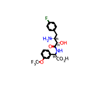 N[C@H](Cc1ccc(F)cc1)[C@H](O)C(=O)N[C@@H](C(=O)O)c1cccc(OC(F)(F)F)c1